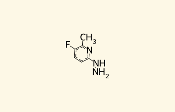 Cc1nc(NN)ccc1F